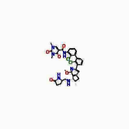 COc1nc(-c2cccc(-c3cccc(NC(=O)c4cn(C)c(=O)n(C)c4=O)c3Cl)c2Cl)cc2c1[C@@H](NCC1CCC(=O)N1)[C@@H](C)C2